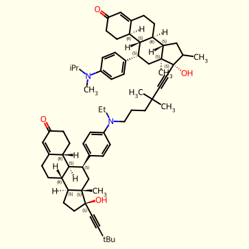 CCN(CCCC(C)(C)C#C[C@]1(O)C(C)C[C@H]2[C@@H]3CCC4=CC(=O)CC[C@@H]4[C@H]3[C@@H](c3ccc(N(C)C(C)C)cc3)C[C@@]21C)c1ccc([C@H]2C[C@@]3(C)[C@@H](CC[C@@]3(O)C#CC(C)(C)C)[C@@H]3CCC4=CC(=O)CC[C@@H]4[C@H]32)cc1